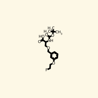 CC(C)(C)OC(=O)NC(COCc1cccc(OCCF)c1)C(=O)O